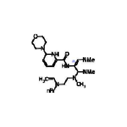 C=CN(CCC)CCN(C)C(NC)/C(=C\NC)NC(=O)C1=CC=CC(N2CCOCC2)N1